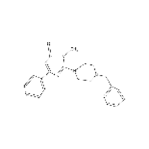 Cn1c(N2CCN(Cc3ccccc3)CC2)nc(-c2ccncc2)cc1=O